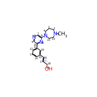 CN1CCCN(c2cncc(-c3cccc(/C=C/CO)c3)n2)CC1